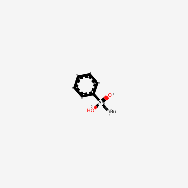 CCCC[As](=O)(O)c1ccccc1